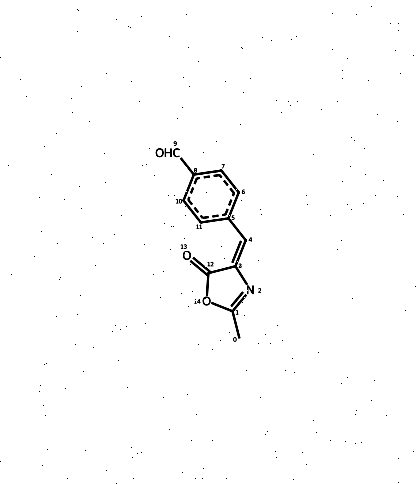 CC1=NC(=Cc2ccc(C=O)cc2)C(=O)O1